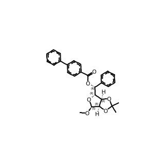 CO[C@H]1O[C@H]([C@H](OC(=O)c2ccc(-c3ccccc3)cc2)c2ccccc2)[C@H]2OC(C)(C)O[C@@H]12